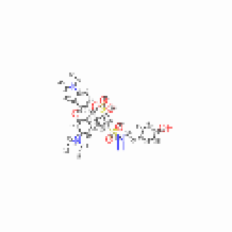 CCN(CC)C1=CC=C2C(Oc3cc(N(CC)CC)ccc3C23OS(=O)(=O)c2cc(S(=O)(=O)NCCc4ccc(O)cc4)ccc23)C1C